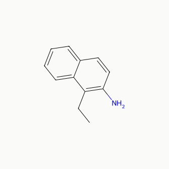 CCc1c(N)ccc2ccccc12